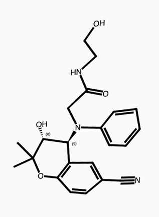 CC1(C)Oc2ccc(C#N)cc2[C@H](N(CC(=O)NCCO)c2ccccc2)[C@H]1O